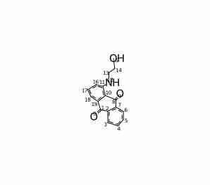 O=C1c2ccccc2C(=O)c2c(NCCO)cccc21